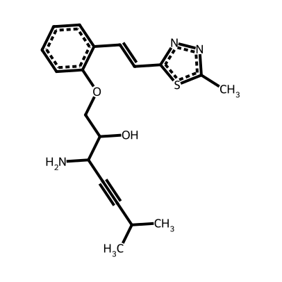 Cc1nnc(C=Cc2ccccc2OCC(O)C(N)C#CC(C)C)s1